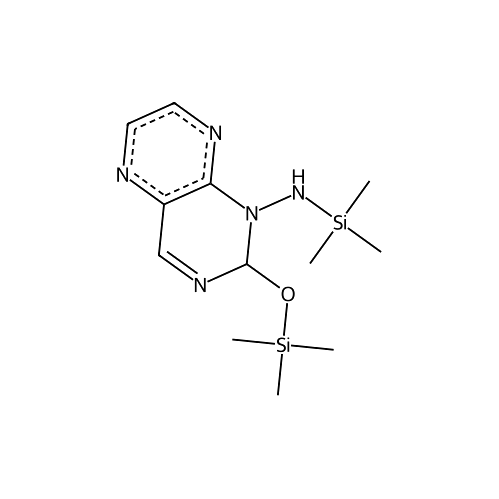 C[Si](C)(C)NN1c2nccnc2C=NC1O[Si](C)(C)C